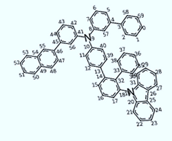 c1ccc(-c2cccc(N(c3ccc(-c4cccc(-n5c6ccccc6c6ccccc65)c4-c4ccccc4)cc3)c3cccc(-c4ccc5ccccc5c4)c3)c2)cc1